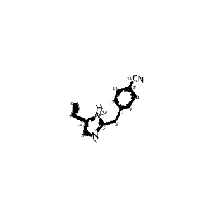 C=Cc1cnc(Cc2ccc(C#N)cc2)[nH]1